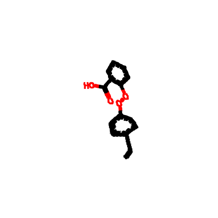 CCc1ccc(OOc2ccccc2C(=O)O)cc1